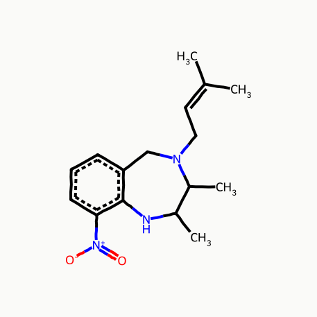 CC(C)=CCN1Cc2cccc([N+](=O)[O-])c2NC(C)C1C